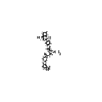 Nc1nc(CC(=O)N2CCN(Cc3ccc4c(c3)OCO4)CC2)nc(NCc2ccc(C(=O)Nc3ccccc3N)cc2)n1